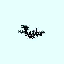 COc1ncc2cc(C(=O)Nc3cc(C(=O)N[C@H](CN)c4cccc(Cl)c4)ccc3Cl)c(=O)[nH]c2n1